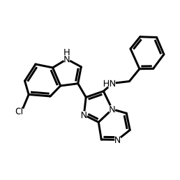 Clc1ccc2[nH]cc(-c3nc4cnccn4c3NCc3ccccc3)c2c1